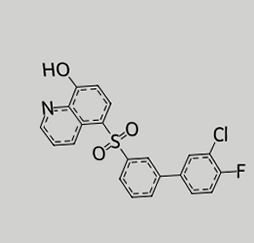 O=S(=O)(c1cccc(-c2ccc(F)c(Cl)c2)c1)c1ccc(O)c2ncccc12